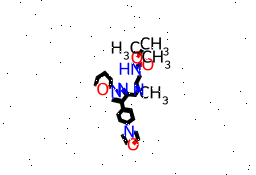 CN(CCNC(=O)OC(C)(C)C)Cc1nn(C2CCCCO2)cc1C1=CCC(N2CCOCC2)CC1